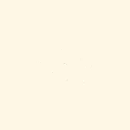 CC1=C(C)C([SiH3])[C]([Ni][C]2=C(C)C(C)=C(C)C2[SiH3])=C1C